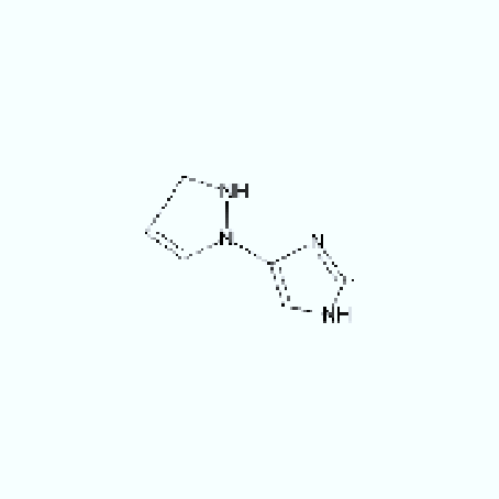 [c]1nc(N2C=CCN2)c[nH]1